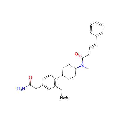 CNCc1cc(CC(N)=O)ccc1[C@H]1CC[C@H](N(C)C(=O)CC=Cc2ccccc2)CC1